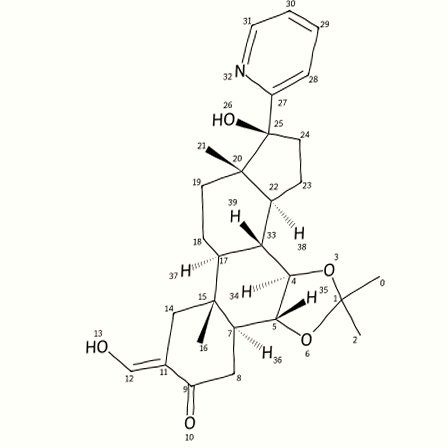 CC1(C)O[C@H]2[C@H](O1)[C@H]1CC(=O)C(=CO)C[C@]1(C)[C@H]1CC[C@@]3(C)[C@@H](CC[C@@]3(O)c3ccccn3)[C@H]21